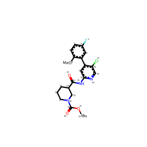 COc1ccc(F)cc1-c1cc(NC(=O)C2CCCN(C(=O)OC(C)(C)C)C2)ncc1Cl